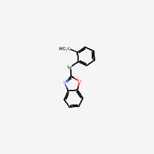 O=C(O)c1ccccc1[Se]c1nc2ccccc2o1